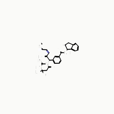 C=C(/C=C\C=N/C)[C@@H](c1cccc(C(=O)N[C@@H]2c3ccccc3C[C@H]2O)c1)N1C(=N)NC(CC)(CC)CC1=O